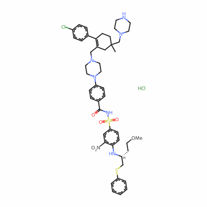 COCC[C@H](CSc1ccccc1)Nc1ccc(S(=O)(=O)NC(=O)c2ccc(N3CCN(CC4=C(c5ccc(Cl)cc5)CCC(C)(CN5CCNCC5)C4)CC3)cc2)cc1[N+](=O)[O-].Cl